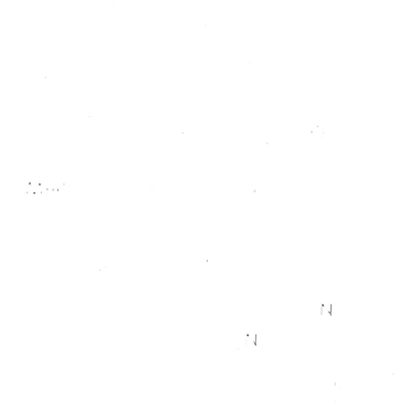 COc1ccc(-c2nc3sccn3c2C=CC(=O)c2ccc3ccccc3c2)cc1